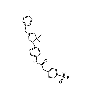 CCS(=O)(=O)c1ccc(CC(=O)Nc2ccc(C3CN(Cc4ccc(C)cc4)CC3(C)C)cc2)cc1